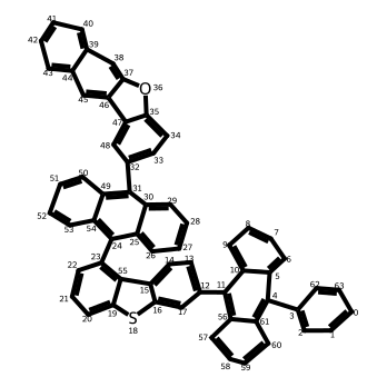 c1ccc(-c2c3ccccc3c(-c3ccc4c(c3)sc3cccc(-c5c6ccccc6c(-c6ccc7oc8cc9ccccc9cc8c7c6)c6ccccc56)c34)c3ccccc23)cc1